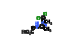 CCOC(=O)c1cccc(NCc2cc(C)c3nc(C)n(Cc4ccc(Cl)cc4Cl)c3c2)c1